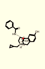 O=C(N[C@@H]1C[C@@]23CCN(CC4CC4)[C@H](Cc4ccc(O)cc42)[C@]3(O)C1)c1ccccc1